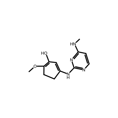 CNc1ccnc(NC2=CC(O)=C(OC)CC2)n1